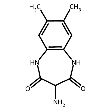 Cc1cc2c(cc1C)NC(=O)C(N)C(=O)N2